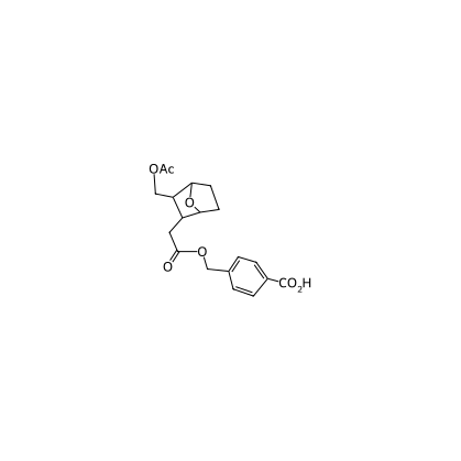 CC(=O)OCC1C2CCC(O2)C1CC(=O)OCc1ccc(C(=O)O)cc1